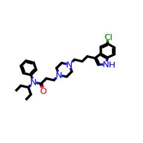 CCC(CC)N(C(=O)CCN1CCN(CCCc2c[nH]c3ccc(Cl)cc23)CC1)c1ccccc1